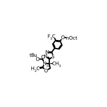 C=C1OC[C@@](C)(c2nnc(-c3ccc(OCCCCCCCC)c(C(F)(F)F)c3)s2)N1C(=O)OC(C)(C)C